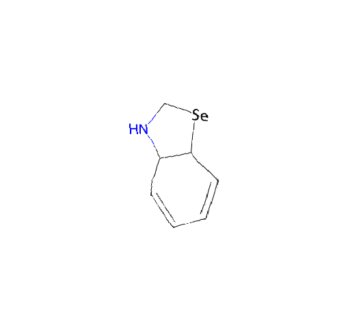 C1=CC2NC[Se]C2C=C1